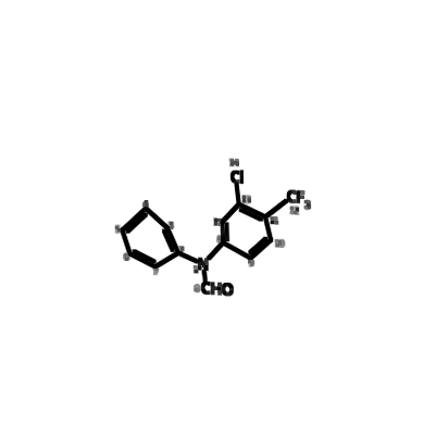 O=CN(c1ccccc1)c1ccc(C(F)(F)F)c(Cl)c1